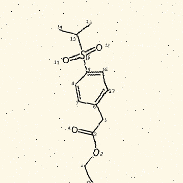 CCOC(=O)Cc1ccc(S(=O)(=O)C(C)C)cc1